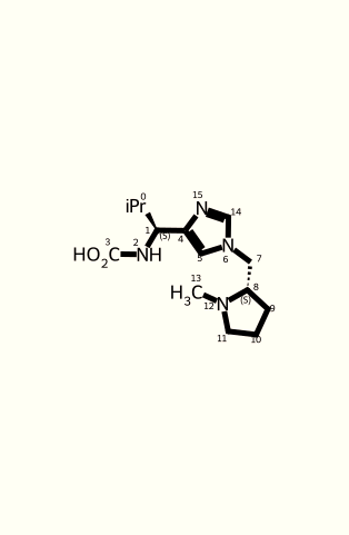 CC(C)[C@H](NC(=O)O)c1cn(C[C@@H]2CCCN2C)cn1